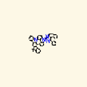 CC1(C)c2ccccc2-c2c1cc1c3ccccc3n3c4cccc5c4c4c(cccc4n5-c4nc(-c5ccccc5)c5c(ccc6ccccc65)n4)c2c13